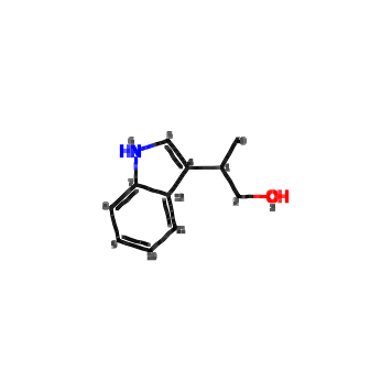 [CH2]C(CO)c1c[nH]c2ccccc12